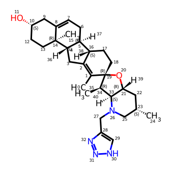 CC1=C2C[C@H]3[C@@H](CC=C4C[C@@H](O)CC[C@@]43C)[C@@H]2CC[C@]12O[C@@H]1C[C@H](C)CN(Cc3c[nH]nn3)[C@H]1[C@H]2C